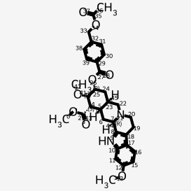 COC(=O)[C@H]1[C@H]2C[C@@H]3c4[nH]c5cc(OC)ccc5c4CCN3C[C@H]2C[C@@H](OC(=O)c2ccc(COC(C)=O)cc2)[C@@H]1OC